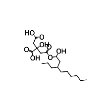 CCCCCCC(CCC)CC(O)OC(=O)CC(O)(CC(=O)O)C(=O)O